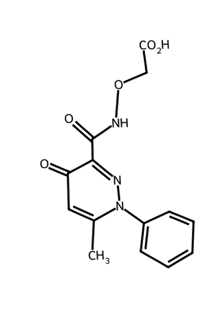 Cc1cc(=O)c(C(=O)NOCC(=O)O)nn1-c1ccccc1